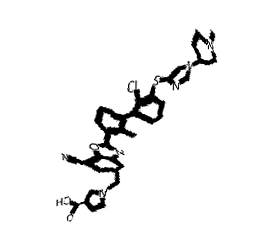 Cc1c(-c2nc3cc(CN4CC[C@@H](C(=O)O)C4)cc(C#N)c3o2)cccc1-c1cccc(Sc2cn(C3CCN(C)CC3)cn2)c1Cl